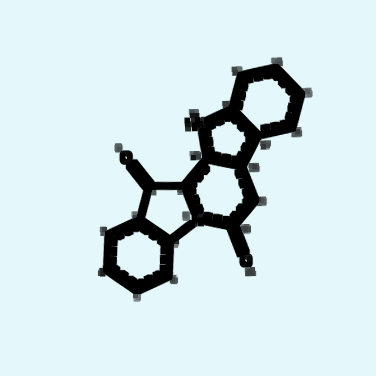 O=C1c2ccccc2-n2c1c1[nH]c3ccccc3c1cc2=O